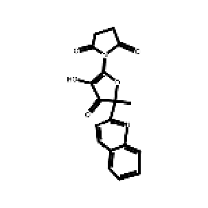 CC1(c2ccc3ccccc3n2)OC(N2C(=O)CCC2=O)=C(O)C1=O